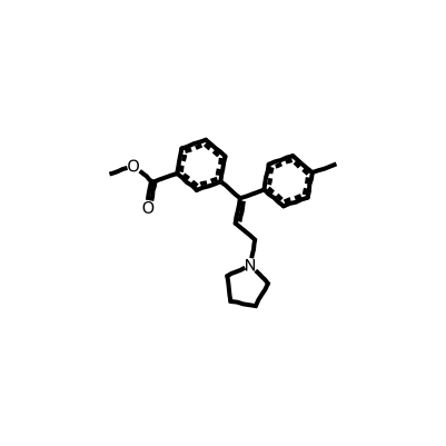 COC(=O)c1cccc(C(=CCN2CCCC2)c2ccc(C)cc2)c1